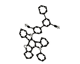 N#Cc1cc(-c2ccccc2)cc(-c2ccc(-n3c4ccccc4c4c5oc6ccccc6c5c5c(c6ccccc6n5-c5ccccc5)c43)c(C#N)c2)c1